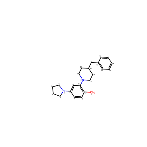 Oc1ccc(N2CCCC2)cc1N1CCC(Cc2ccccc2)CC1